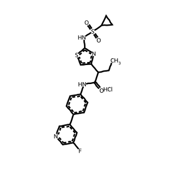 CCC(C(=O)Nc1ccc(-c2cncc(F)c2)cc1)c1csc(NS(=O)(=O)C2CC2)n1.Cl